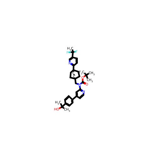 CC(C)(O)c1ccc(-c2ccnc(N(CC34CCC(c5ccc(C(C)(F)F)cn5)(CC3)CC4)C(=O)OC(C)(C)C(F)(F)F)c2)cc1